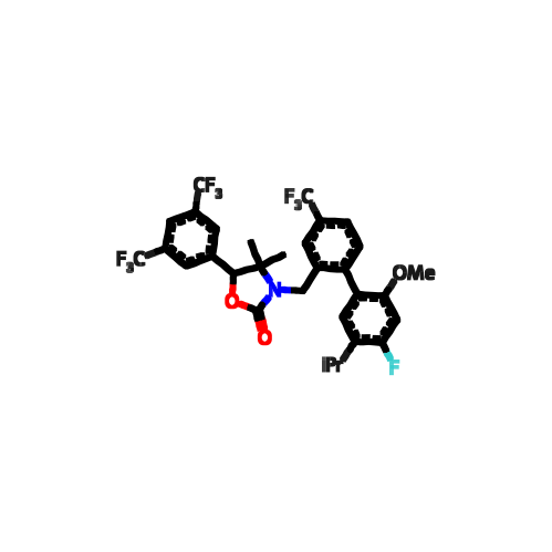 COc1cc(F)c(C(C)C)cc1-c1ccc(C(F)(F)F)cc1CN1C(=O)OC(c2cc(C(F)(F)F)cc(C(F)(F)F)c2)C1(C)C